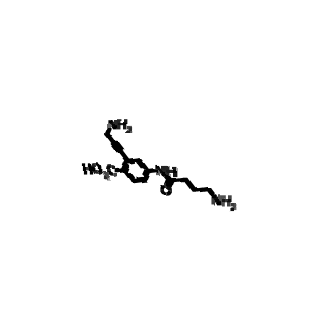 NCC#Cc1cc(NC(=O)CCCN)ccc1C(=O)O